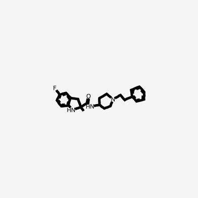 CC1(C(=O)NC2CCN(CCc3ccccc3)CC2)Cc2cc(F)ccc2N1